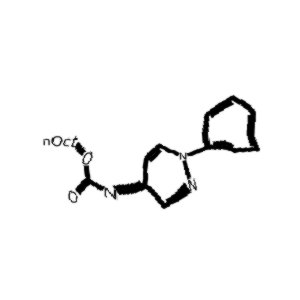 CCCCCCCCOC(=O)N=c1ccn(-c2ccccc2)nc1